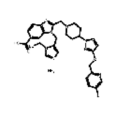 CCn1cncc1Cn1c(CN2CCC(n3ccc(OCc4ccc(Cl)cn4)n3)CC2)nc2ccc(C(=O)O)cc21.N